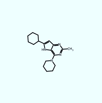 Cc1nc(N2CCCCC2)c2[nH]c(C3CCCCC3)cc2n1